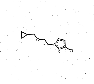 Clc1ccn(CCOCC2CC2)n1